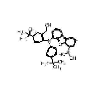 CCC1=C(N(c2ccc(C(C)(C)C)cc2)c2cccc3c2oc2c(B(O)O)cccc23)C=CC(C(C)(C)C)C1